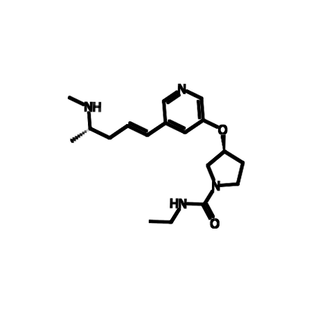 CCNC(=O)N1CC[C@H](Oc2cncc(C=CC[C@H](C)NC)c2)C1